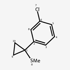 CSC1(c2cccc(Cl)c2)CC1